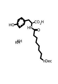 CCCCCCCCCCCCCCCCCC(=O)N[C@@H](Cc1ccc(O)cc1)C(=O)O.[KH].[KH]